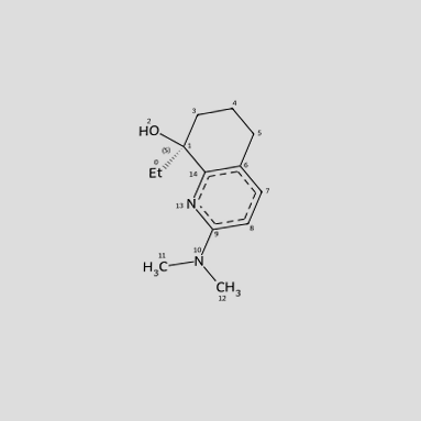 CC[C@]1(O)CCCc2ccc(N(C)C)nc21